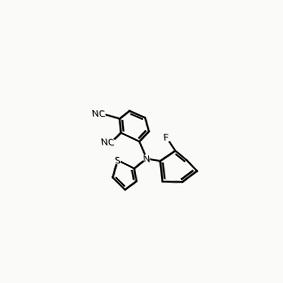 N#Cc1cccc(N(c2cccs2)c2ccccc2F)c1C#N